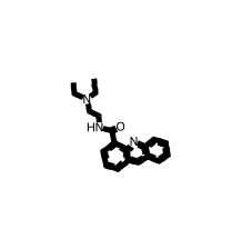 CCN(CC)CCNC(=O)c1cccc2cc3ccccc3nc12